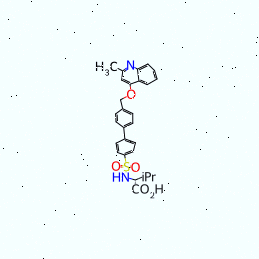 Cc1cc(OCc2ccc(-c3ccc(S(=O)(=O)N[C@@H](C(=O)O)C(C)C)cc3)cc2)c2ccccc2n1